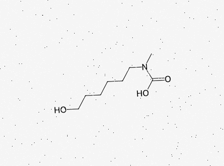 CN(CCCCCCO)C(=O)O